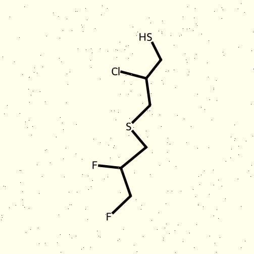 FCC(F)CSCC(Cl)CS